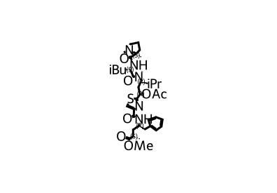 CCC(C)[C@H](NC(=O)[C@]1(C)CCCN1C)C(=O)N(C)[C@H](C[C@@H](OC(C)=O)c1nc(C(=O)N[C@@H](Cc2ccccc2)C[C@H](C)C(=O)OC)cs1)C(C)C